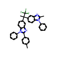 Cc1ccc(-c2nc3cc(C(C)(c4ccc5c(c4)nc(C)n5-c4ccccc4)C(F)(F)F)ccc3n2-c2ccccc2)cc1